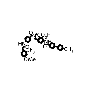 COc1ccc(CC(=O)Nc2ccc(C(=O)N(CC(=O)O)Cc3ccc(NC(=O)c4ccc(-c5ccc(C)cc5)cc4)cc3)cc2)c(C(F)(F)F)c1